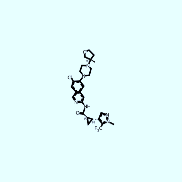 Cn1ncc([C@@H]2C[C@H]2C(=O)Nc2cc3cc(N4CCN([C@@]5(C)CCOC5)CC4)c(Cl)cc3cn2)c1C(F)(F)F